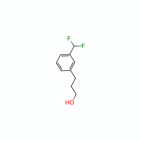 OCCCc1cccc(C(F)F)c1